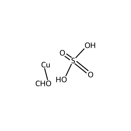 O=S(=O)(O)O.O=[CH][Cu]